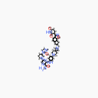 CN1CCN([C@@H]2CCCN(c3cnc(C(N)=O)c(Nc4ccc(N5CCC6(CC5)CN(C[C@@H]5Cc7ccc8c(C9CCC(=O)NC9=O)noc8c7C5)C6)cc4)n3)C2)C1=O